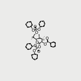 C[C@H](COP(=O)(Oc1ccccc1)Oc1ccccc1)C1O[C@@H](OP(=O)(Oc2ccccc2)Oc2ccccc2)C(OC(=O)c2ccccc2)[C@@H](C)[C@@H]1C